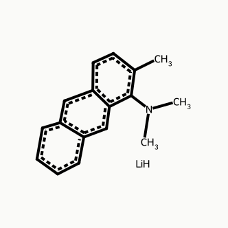 Cc1ccc2cc3ccccc3cc2c1N(C)C.[LiH]